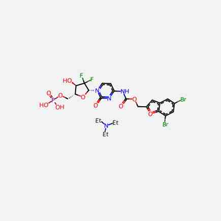 CCN(CC)CC.O=C(Nc1ccn([C@@H]2O[C@H](COP(=O)(O)O)[C@@H](O)C2(F)F)c(=O)n1)OCc1cc2cc(Br)cc(Br)c2o1